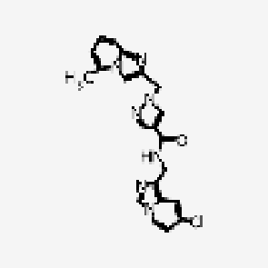 Cc1cccc2nc(Cn3cc(C(=O)NCc4ncn5ccc(Cl)cc45)cn3)cn12